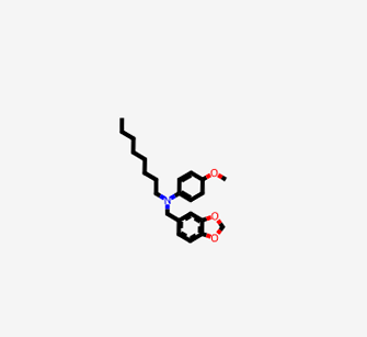 CCCCCCCCN(Cc1ccc2c(c1)OCO2)C1=CCC(OC)C=C1